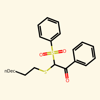 CCCCCCCCCCCCSC(C(=O)c1ccccc1)S(=O)(=O)c1ccccc1